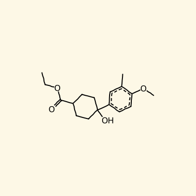 CCOC(=O)C1CCC(O)(c2ccc(OC)c(C)c2)CC1